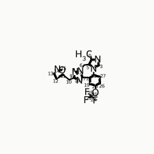 Cc1ncn2c1Cn1nc(Cc3ccno3)nc1-c1cc(OC(F)(F)F)ccc1-2